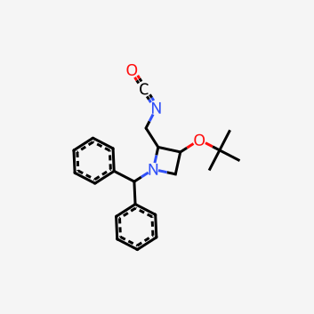 CC(C)(C)OC1CN(C(c2ccccc2)c2ccccc2)C1CN=C=O